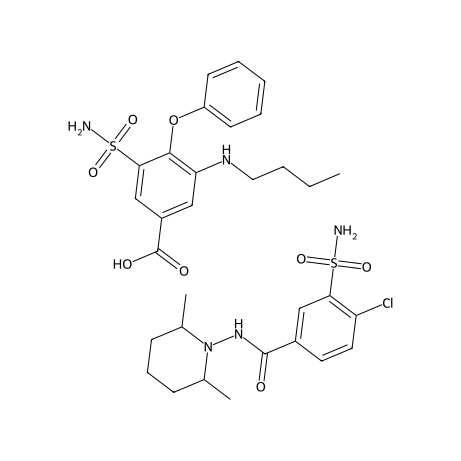 CC1CCCC(C)N1NC(=O)c1ccc(Cl)c(S(N)(=O)=O)c1.CCCCNc1cc(C(=O)O)cc(S(N)(=O)=O)c1Oc1ccccc1